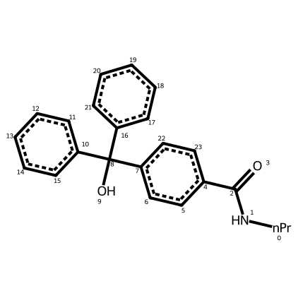 CCCNC(=O)c1ccc(C(O)(c2ccccc2)c2ccccc2)cc1